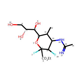 CCOC(=O)C1(F)OC([C@H](O)[C@H](O)CO)C(C)C(NC(C)=N)C1F